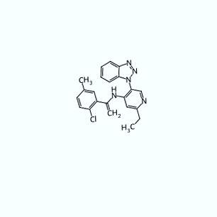 C=C(Nc1cc(CC)ncc1-n1nnc2ccccc21)c1cc(C)ccc1Cl